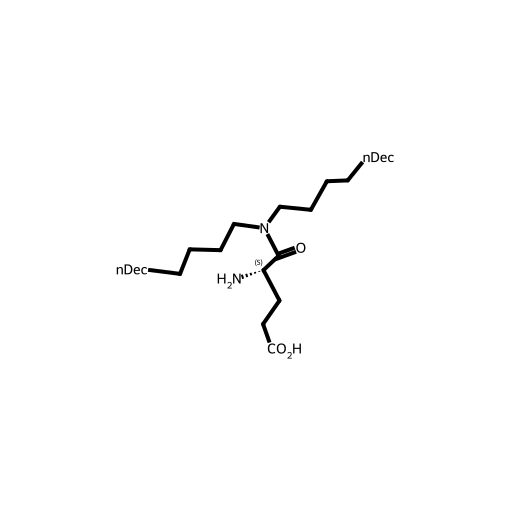 CCCCCCCCCCCCCCN(CCCCCCCCCCCCCC)C(=O)[C@@H](N)CCC(=O)O